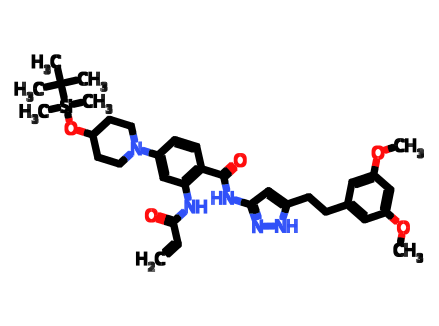 C=CC(=O)Nc1cc(N2CCC(O[Si](C)(C)C(C)(C)C)CC2)ccc1C(=O)Nc1cc(CCc2cc(OC)cc(OC)c2)[nH]n1